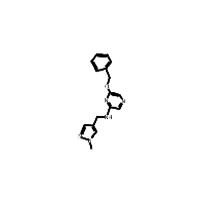 Cn1cc(CNc2cncc(OCc3ccccc3)n2)cn1